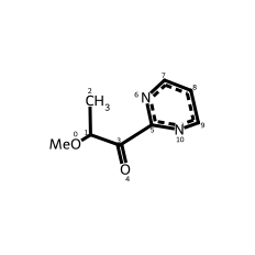 COC(C)C(=O)c1ncccn1